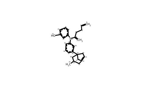 C=CCCC(=C)N(c1cccc(O)c1)c1cccc(C23CC=C(CC(C)C2)C3)c1